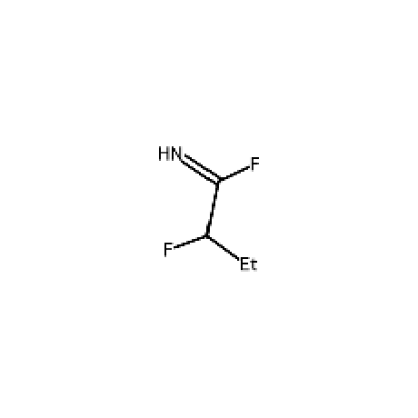 CCC(F)C(=N)F